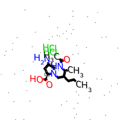 CCCC(CN1C[C@H](N)C[C@@H]1C(=O)O)C(C)NC(C)=O.Cl.Cl